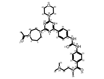 CC(=O)N1CCCN(c2nc(-c3ccc(NC(=O)Nc4ccc(C(=O)N(C)CCN(C)C)cc4)cc3)nc(N3CCOCC3)n2)CC1